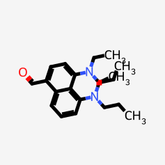 CCCN(CCC)c1cccc2c(C=O)ccc(N(CC)CC)c12